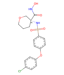 O=C(NO)[C@@]1(NS(=O)(=O)c2ccc(Oc3ccc(Cl)cc3)cc2)CCCOC1